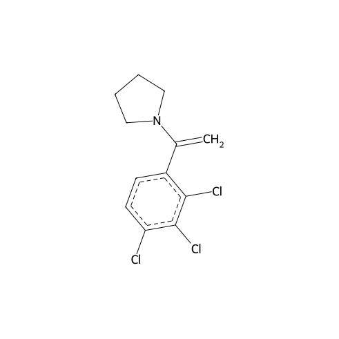 C=C(c1ccc(Cl)c(Cl)c1Cl)N1CCCC1